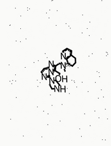 CN(Cc1nc2ccnc(N3CCNCC3)n2c1CO)[C@H]1CCCc2cccnc21